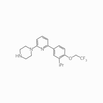 CC(C)c1cc(-c2cccc(N3CCNCC3)n2)ccc1OCC(F)(F)F